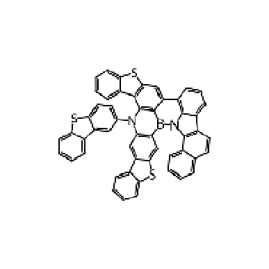 c1ccc2c(c1)ccc1c3cccc4c3n(c21)B1c2cc3sc5ccccc5c3cc2N(c2ccc3sc5ccccc5c3c2)c2c1c-4cc1sc3ccccc3c21